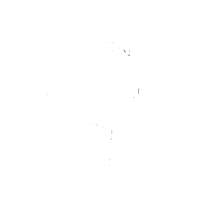 COc1cc2nccc(Cl)c2cc1Cl